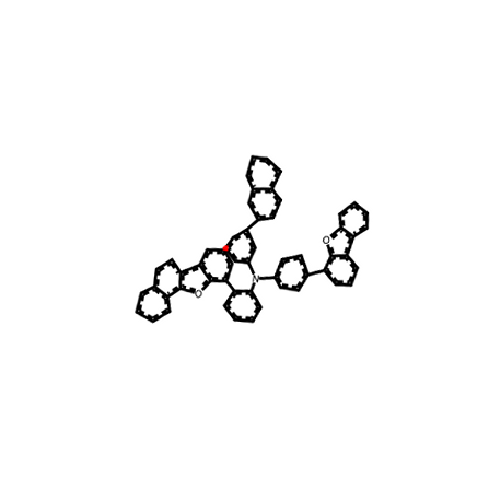 c1cc(-c2ccc3ccccc3c2)cc(N(c2ccc(-c3cccc4c3oc3ccccc34)cc2)c2ccccc2-c2cccc3c2oc2c4ccccc4ccc32)c1